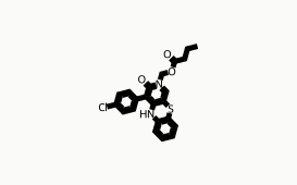 CCCC(=O)OCn1cc2c(c(-c3ccc(Cl)cc3)c1=O)Nc1ccccc1S2